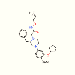 C=CCONC(=O)CN1CCN(c2ccc(OC)c(OC3CCCC3)c2)CC1Cc1ccccc1